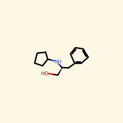 OC[C@H](Cc1ccccc1)NC1CCCC1